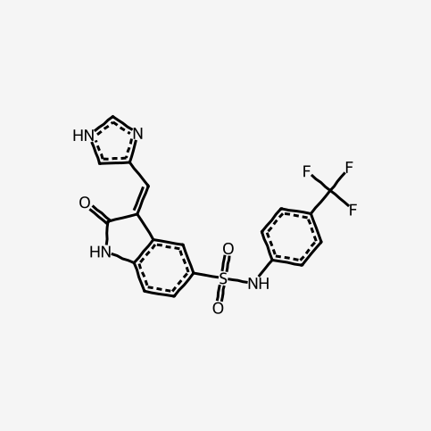 O=C1Nc2ccc(S(=O)(=O)Nc3ccc(C(F)(F)F)cc3)cc2C1=Cc1c[nH]cn1